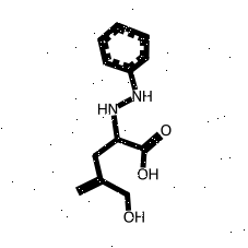 C=C(CO)CC(NNc1ccccc1)C(=O)O